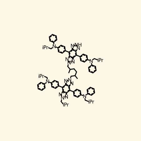 CC(C)CN(c1ccccc1)c1ccc(-c2c3n[nH]nc3c(-c3ccc(N(CC(C)C)c4ccccc4)cc3)c3[n-][n+](CC(C)CCC(C)Cn4nc5c(-c6ccc(N(CC(C)C)c7ccccc7)cc6)c6n[n+](CC(C)C)[n-]c6c(-c6ccc(N(CC(C)C)c7ccccc7)cc6)c5n4)nc23)cc1